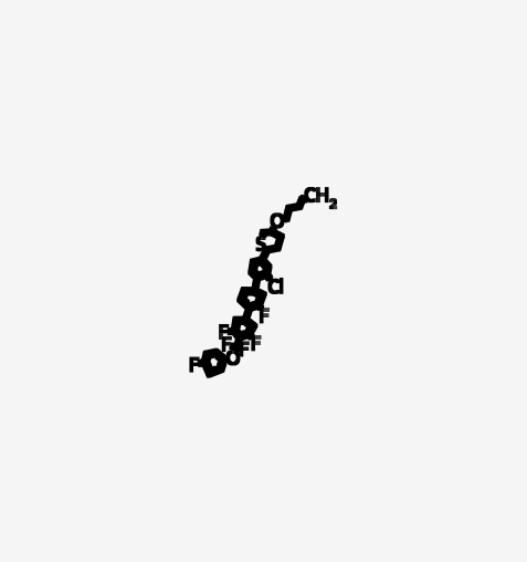 C=CCCCOC1CCC(c2ccc(-c3ccc(-c4cc(F)c(C(F)(F)Oc5ccc(F)cc5)c(F)c4)c(F)c3)c(Cl)c2)SC1